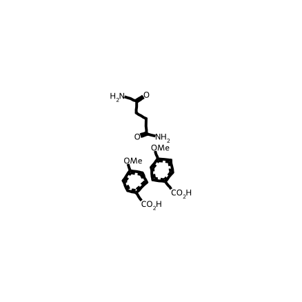 COc1ccc(C(=O)O)cc1.COc1ccc(C(=O)O)cc1.NC(=O)CCC(N)=O